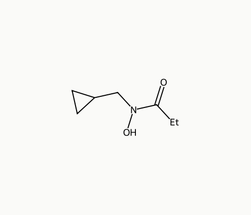 CCC(=O)N(O)CC1CC1